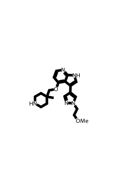 COCCn1cc(-c2c[nH]c3nccc(OCC4(C)CCNCC4)c23)cn1